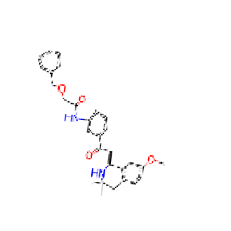 COc1ccc2c(c1)/C(=C/C(=O)c1cccc(NC(=O)COCc3ccccc3)c1)NC(C)(C)C2